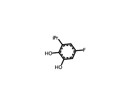 CC(C)c1cc(F)cc(O)c1O